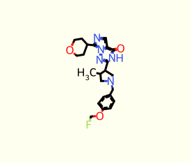 CC1CN(Cc2ccc(OCF)cc2)CC1c1nn2c(C3CCOCC3)ncc2c(=O)[nH]1